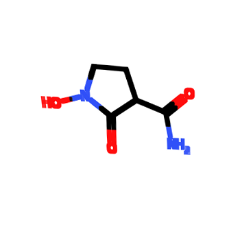 NC(=O)C1CCN(O)C1=O